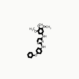 COc1cc(Nc2ccnc(Nc3ccc(Oc4ccccc4)cc3)n2)cc(OC)c1OC